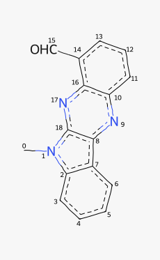 Cn1c2ccccc2c2nc3cccc(C=O)c3nc21